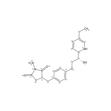 CCC1=CNC([C@H](O)COc2ccc(CC3SC(=O)N(N)C3=O)cc2)C=C1